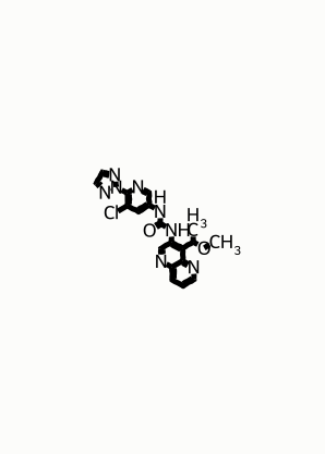 COC(C)c1c(NC(=O)Nc2cnc(-n3nccn3)c(Cl)c2)cnc2cccnc12